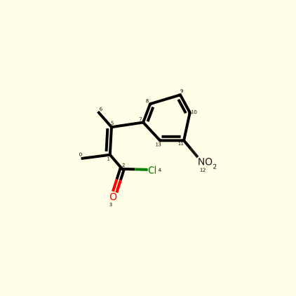 CC(C(=O)Cl)=C(C)c1cccc([N+](=O)[O-])c1